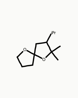 CC(C)C1CC2(CCCO2)OC1(C)C